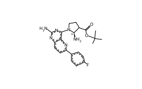 CC(C)(C)OC(=O)C1CCN(c2nc(N)nc3ccc(-c4ccc(F)cc4)nc23)[C@@H]1N